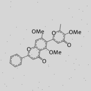 COc1cc2oc(-c3ccccc3)cc(=O)c2c(OC)c1-c1cc(=O)c(OC)c(C)o1